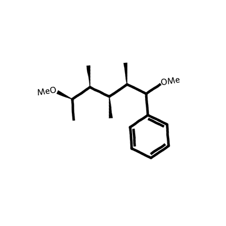 COC(c1ccccc1)[C@H](C)[C@@H](C)[C@H](C)[C@@H](C)OC